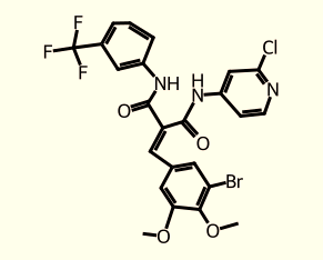 COc1cc(/C=C(/C(=O)Nc2cccc(C(F)(F)F)c2)C(=O)Nc2ccnc(Cl)c2)cc(Br)c1OC